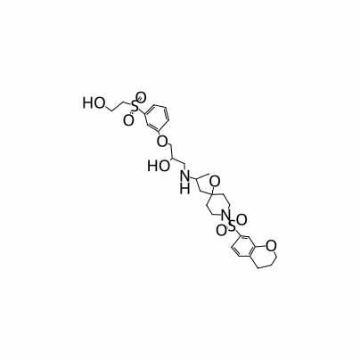 O=S(=O)(CCO)c1cccc(OCC(O)CNC2COC3(CCN(S(=O)(=O)c4ccc5c(c4)OCCC5)CC3)C2)c1